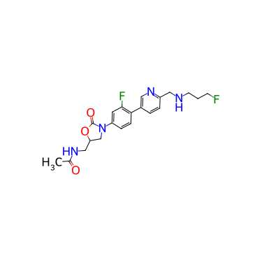 CC(=O)NCC1CN(c2ccc(-c3ccc(CNCCCF)nc3)c(F)c2)C(=O)O1